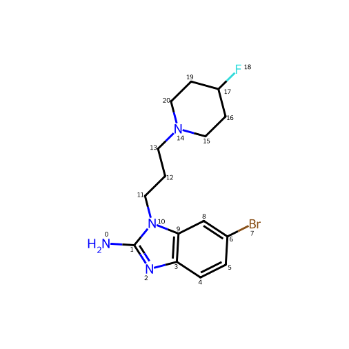 Nc1nc2ccc(Br)cc2n1CCCN1CCC(F)CC1